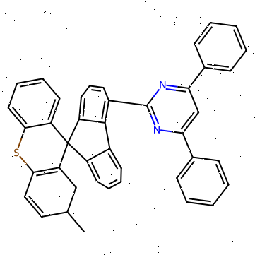 CC1C=CC2=C(C1)C1(c3ccccc3S2)c2ccccc2-c2c(-c3nc(-c4ccccc4)cc(-c4ccccc4)n3)cccc21